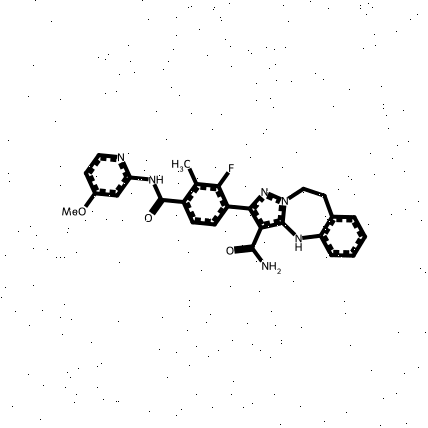 COc1ccnc(NC(=O)c2ccc(-c3nn4c(c3C(N)=O)Nc3ccccc3CC4)c(F)c2C)c1